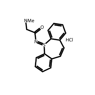 CNCC(=O)N=S1c2ccccc2C=Cc2ccccc21.Cl